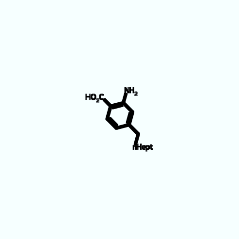 CCCCCCCCc1ccc(C(=O)O)c(N)c1